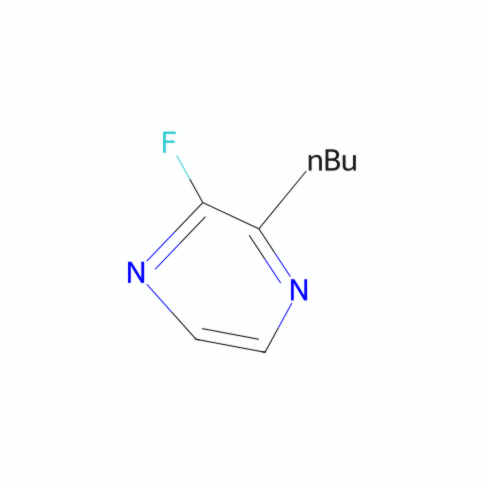 CC[CH]Cc1nccnc1F